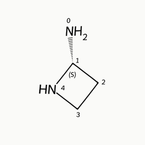 N[C@@H]1CCN1